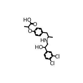 CC(Cc1ccc(OC(C)C(=O)O)cc1)NCC(O)c1ccc(Cl)c(Cl)c1